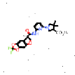 CC1(C)CN(c2cccc(NC(=O)[C@@]3(C)COc4cc5c(cc43)OC(F)(F)O5)n2)CC1C(=O)O